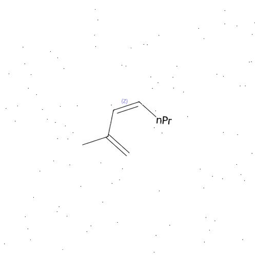 C=C(C)/C=C\CCC